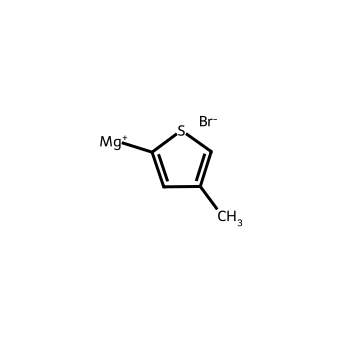 Cc1cs[c]([Mg+])c1.[Br-]